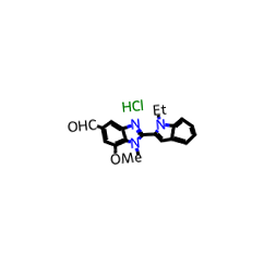 CCn1c(-c2nc3cc(C=O)cc(OC)c3n2C)cc2ccccc21.Cl